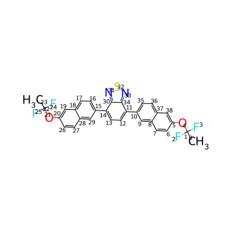 CC(F)(F)Oc1ccc2cc(-c3ccc(-c4ccc5cc(OC(C)(F)F)ccc5c4)c4nsnc34)ccc2c1